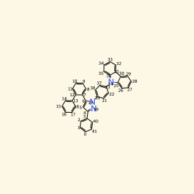 c1ccc(-c2cc(-c3ccccc3-c3ccccc3)n(-c3ccc(-n4c5ccccc5c5ccccc54)cc3)n2)cc1